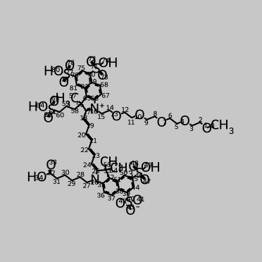 COCCOCCOCCOCCOCC[N+]1=C(/C=C/C=C/C=C/C=C2/N(CCCCCC(=O)O)c3ccc4c(S(=O)(=O)[O-])cc(S(=O)(=O)O)cc4c3C2(C)C)C(C)(CCCS(=O)(=O)O)c2c1ccc1c(S(=O)(=O)O)cc(S(=O)(=O)O)cc21